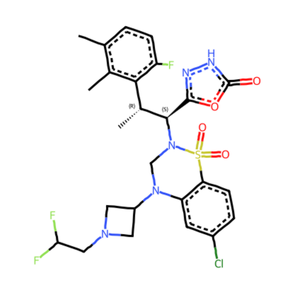 Cc1ccc(F)c([C@@H](C)[C@@H](c2n[nH]c(=O)o2)N2CN(C3CN(CC(F)F)C3)c3cc(Cl)ccc3S2(=O)=O)c1C